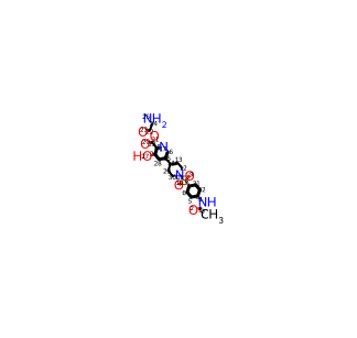 CC(=O)Nc1ccc(S(=O)(=O)N2CC=C(c3cnc(C(=O)OC(=O)CN)c(O)c3)CC2)cc1